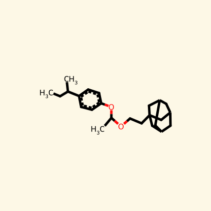 CCC(C)c1ccc(OC(C)OCCC23CC4CC(CC(C4)C2)C3)cc1